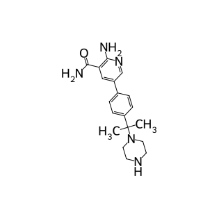 CC(C)(c1ccc(-c2cnc(N)c(C(N)=O)c2)cc1)N1CCNCC1